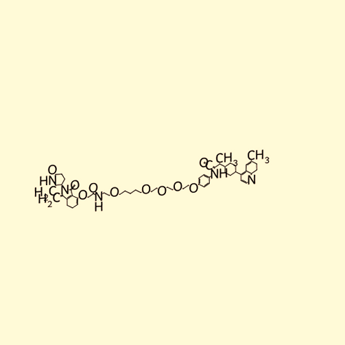 C=C1NC(=O)CCC1N1C(=C)C2=C(C1=O)C(OCC(=O)NCCOCCCCCOCCOCCOCCOc1ccc(NC(=C=O)C(C)C3CCC(c4ccnc5c4C=C(C)CC5)CC3)cc1)=CCC2